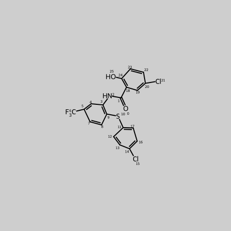 O=C(Nc1cc(C(F)(F)F)ccc1Sc1ccc(Cl)cc1)c1cc(Cl)ccc1O